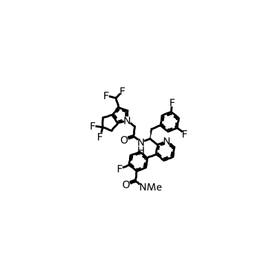 CNC(=O)c1cc(-c2cccnc2[C@H](Cc2cc(F)cc(F)c2)NC(=O)Cn2cc(C(F)F)c3c2CC(F)(F)C3)ccc1F